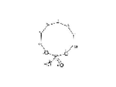 O=P1(O)OCCCCCCCO1